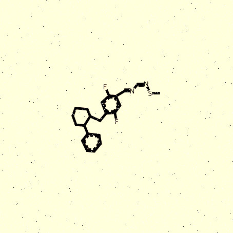 CS/N=C\N=C\c1cc(F)c(CC2CCCCC2c2ccccc2)cc1F